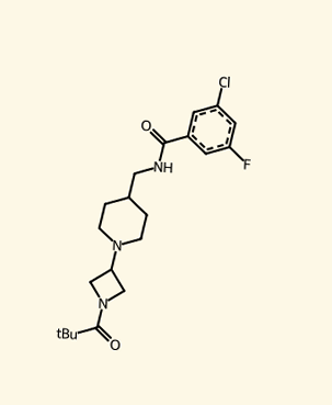 CC(C)(C)C(=O)N1CC(N2CCC(CNC(=O)c3cc(F)cc(Cl)c3)CC2)C1